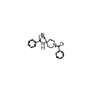 N#CC1(NC(=O)c2ccccc2)CCN(C(=O)c2ccccc2)CC1